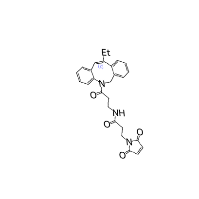 CC/C1=C/c2ccccc2N(C(=O)CCNC(=O)CCN2C(=O)C=CC2=O)Cc2ccccc21